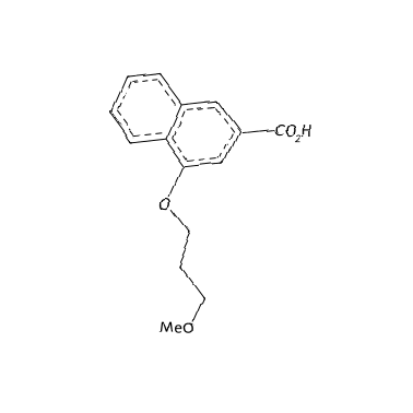 COCCCOc1cc(C(=O)O)cc2ccccc12